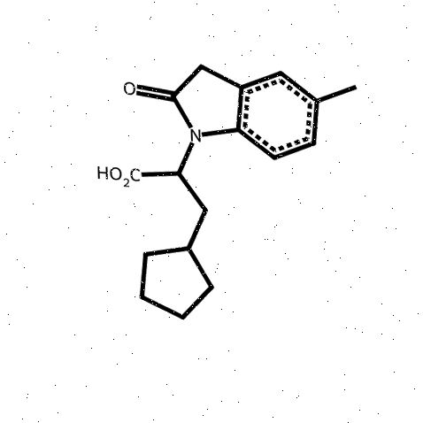 Cc1ccc2c(c1)CC(=O)N2C(CC1CCCC1)C(=O)O